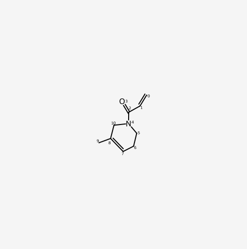 C=CC(=O)N1CCC=C(C)C1